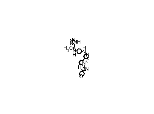 C[C@H](Cc1nnn[nH]1)N[C@H]1CC[C@H](Nc2cc(-c3cccc(NCC4(C#N)CCOCC4)n3)c(Cl)cn2)CC1